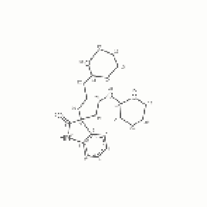 O=C1Nc2ccccc2C1(CCCC1CCCCO1)CCOC1CCCCO1